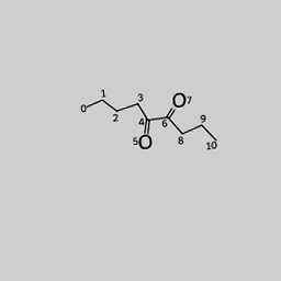 CCCCC(=O)C(=O)CCC